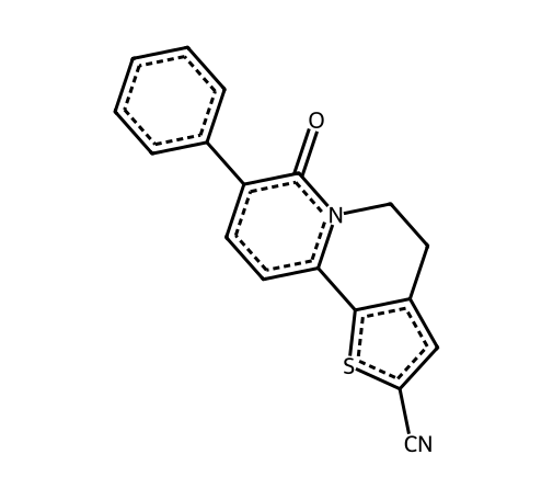 N#Cc1cc2c(s1)-c1ccc(-c3ccccc3)c(=O)n1CC2